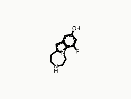 Oc1cc(F)c2c(c1)cc1n2CCNCC1